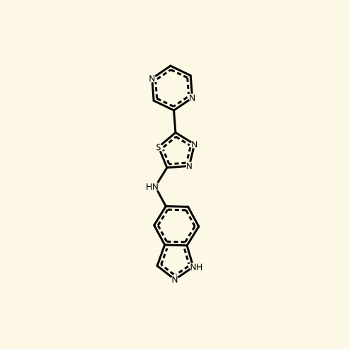 c1cnc(-c2nnc(Nc3ccc4[nH]ncc4c3)s2)cn1